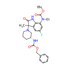 CCN(C(=O)OC(C)(C)C)c1cc(F)cc2c1NC(=O)C2(C)N1CCC[C@@H](NC(=O)OCc2ccccc2)C1